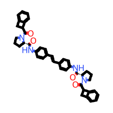 O=C(Nc1ccc(/C=C/c2ccc(NC(=O)[C@@H]3CCCN3C(=O)C3Cc4ccccc43)cc2)cc1)[C@@H]1CCCN1C(=O)C1Cc2ccccc21